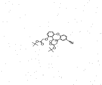 CC(C)(C)OC(=O)COc1cccc2c1C(=O)N(CC(=O)OC(C)(C)C)c1cc(C#N)ccc1O2